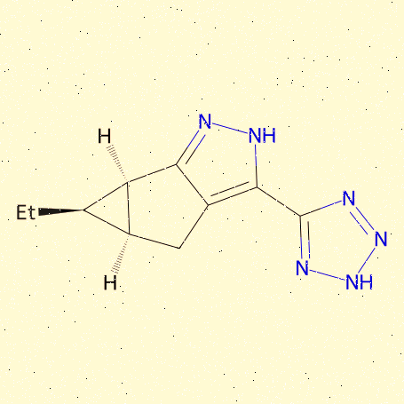 CC[C@@H]1[C@@H]2Cc3c(n[nH]c3-c3nn[nH]n3)[C@H]12